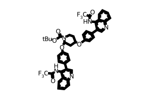 CC(C)(C)OC(=O)N1CCC(Oc2ccc(-c3cnc4ccccc4c3NC(=O)C(F)(F)F)cc2)CC1Oc1ccc(-c2cnc3ccccc3c2NC(=O)C(F)(F)F)cc1